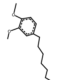 COc1ccc(CCCCCCO)cc1OC